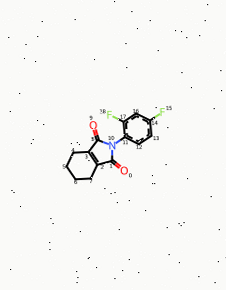 O=C1C2=C(CCCC2)C(=O)N1c1ccc(F)cc1F